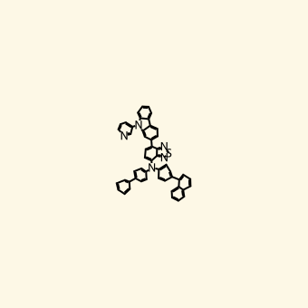 c1ccc(-c2ccc(N(c3ccc(-c4cccc5ccccc45)cc3)c3ccc(-c4ccc5c6ccccc6n(-c6cccnc6)c5c4)c4nsnc34)cc2)cc1